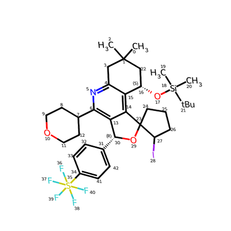 CC1(C)Cc2nc(C3CCOCC3)c3c(c2[C@@H](O[Si](C)(C)C(C)(C)C)C1)C1(CCCC1I)O[C@@H]3c1ccc(S(F)(F)(F)(F)F)cc1